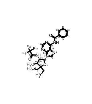 CCC1(CC)O[C@@H](n2cnc3c(NC(=O)c4ccccc4)ncnc32)[C@@H](NC(=O)C(F)(F)F)C1C